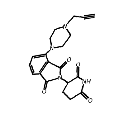 C#CCN1CCN(c2cccc3c2C(=O)N(C2CCC(=O)NC2=O)C3=O)CC1